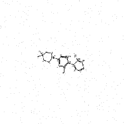 Cc1nc(N2CCC(C)(C)CC2)cnc1-c1ccccc1F